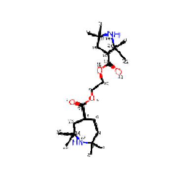 CC1(C)CCC(C(=O)OCCOC(=O)C2CC(C)(C)NC2(C)C)CC(C)(C)N1